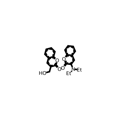 CCN(CC)c1cc2ccccc2oc1=O.O=c1oc2ccccc2cc1CO